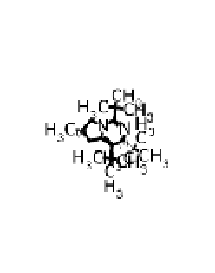 C[C@@H]1CC2=C(C(C)(C)C)[C@@H](C(C)(C)C)N=C(C(C)(C)C)N2C1